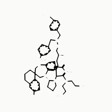 COCCN(CCOC)C(=O)C(/C(F)=C/C[C@H](C)CSN(Cc1ccc(OC)cc1)Cc1ccc(OC)cc1)N1CCC[C@H]1N1CC2(CCCc3cc(Cl)ccc32)COc2ccc(C(=O)OC)cc21